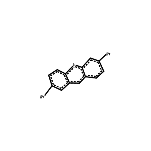 CC(C)c1ccc2nc3cc(C(C)C)ccc3cc2c1